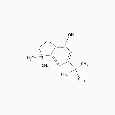 CC(C)(C)c1cc(O)c2c(c1)C(C)(C)CC2